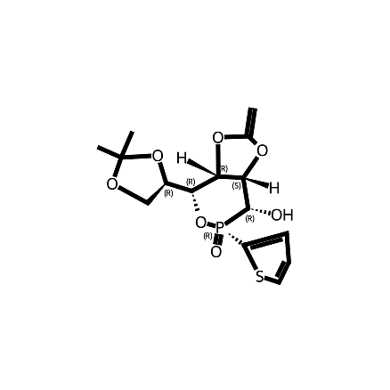 C=C1O[C@H]2[C@@H]([C@H]3COC(C)(C)O3)O[P@@](=O)(c3cccs3)[C@@H](O)[C@H]2O1